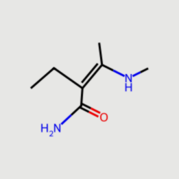 CC/C(C(N)=O)=C(\C)NC